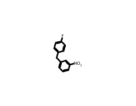 O=[N+]([O-])c1cccc(Cc2ccc(F)cc2)c1